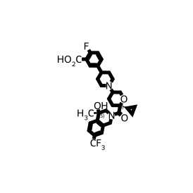 C[C@@]1(O)CN(C(=O)[C@@]2(C3CC3)CCC(N3CCC(c4ccc(F)c(C(=O)O)c4)CC3)CO2)Cc2cc(C(F)(F)F)ccc21